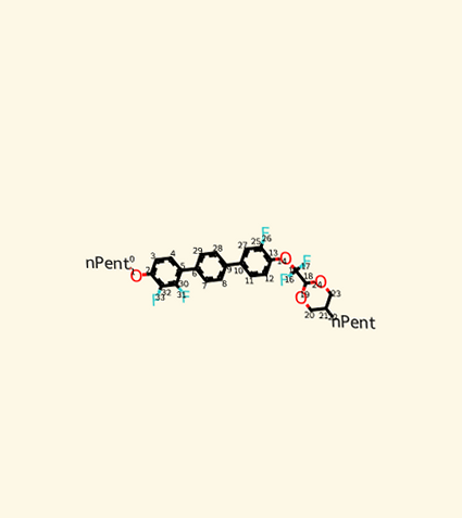 CCCCCOc1ccc(-c2ccc(-c3ccc(OC(F)(F)C4OCC(CCCCC)CO4)c(F)c3)cc2)c(F)c1F